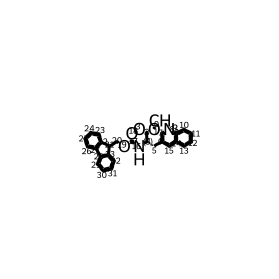 COC(=O)[C@H](Cc1cnc2ccccc2c1)NC(=O)OCC1c2ccccc2-c2ccccc21